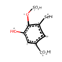 O=C(O)c1cc(O)c(OS(=O)(=O)O)c([SeH])c1